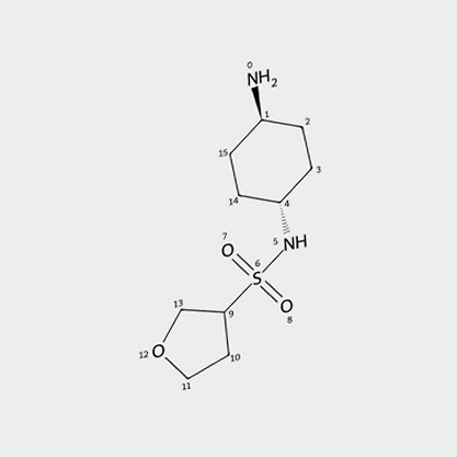 N[C@H]1CC[C@H](NS(=O)(=O)C2CCOC2)CC1